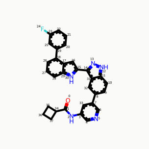 O=C(Nc1cncc(-c2ccc3[nH]nc(-c4cc5c(-c6cccc(F)c6)cccc5[nH]4)c3c2)c1)C1CCC1